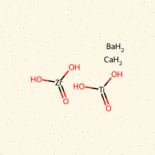 [BaH2].[CaH2].[O]=[Ti]([OH])[OH].[O]=[Zr]([OH])[OH]